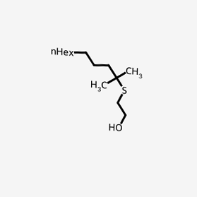 CCCCCCCCCC(C)(C)SCCO